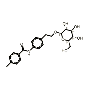 Cc1ccc(C(=O)Nc2ccc(CCO[C@@H]3O[C@H](CO)[C@@H](O)[C@H](O)[C@H]3O)cc2)cc1